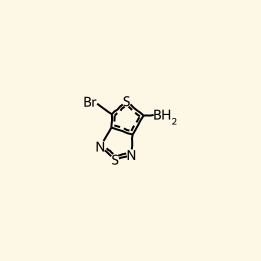 Bc1sc(Br)c2c1N=S=N2